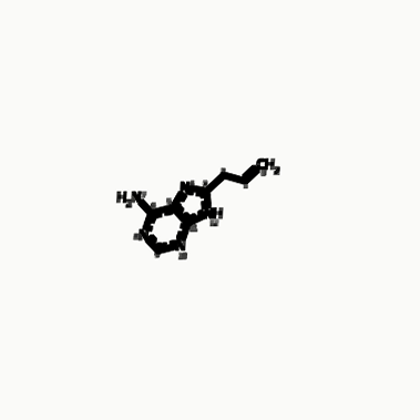 C=CCc1nc2c(N)ncnc2[nH]1